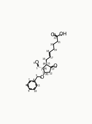 O=C[C@H]1[C@H](OCc2ccccc2)CC(=O)[C@@H]1CC=CCCCC(=O)O